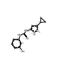 CC(=O)c1cccc(NC(=O)Nc2cc(C3CC3)n[nH]2)c1